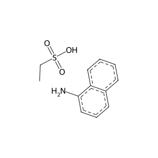 CCS(=O)(=O)O.Nc1cccc2ccccc12